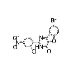 O=c1[nH]c(-c2ccc([N+](=O)[O-])cc2Cl)nc2c1oc1ccc(Br)cc12